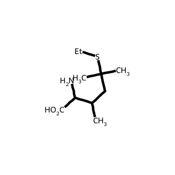 CCSC(C)(C)CC(C)C(N)C(=O)O